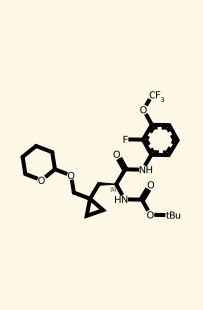 CC(C)(C)OC(=O)N[C@@H](CC1(COC2CCCCO2)CC1)C(=O)Nc1cccc(OC(F)(F)F)c1F